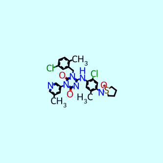 Cc1cncc(-n2c(=O)nc(Nc3cc(C)c(N=S4(=O)CCCC4)cc3Cl)n(Cc3cc(Cl)ccc3C)c2=O)c1